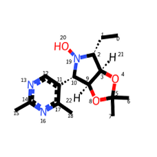 CC[C@@H]1[C@H]2OC(C)(C)O[C@H]2[C@H](c2cnc(C)nc2C)N1O